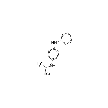 CCC(C)C(C)Nc1ccc(Nc2ccccc2)cc1